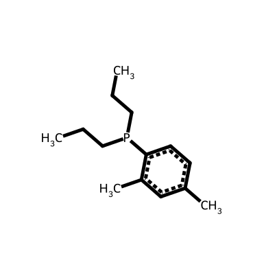 CCCP(CCC)c1ccc(C)cc1C